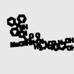 CON=C(C(=O)NC1C(=O)N2CC(CN3Cc4cc(O)c(O)cc4C3)(C(=O)O)CS[C@H]12)c1csc(NC(c2ccccc2)(c2ccccc2)c2ccccc2)n1